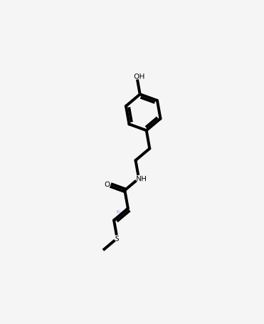 CS/C=C/C(=O)NCCc1ccc(O)cc1